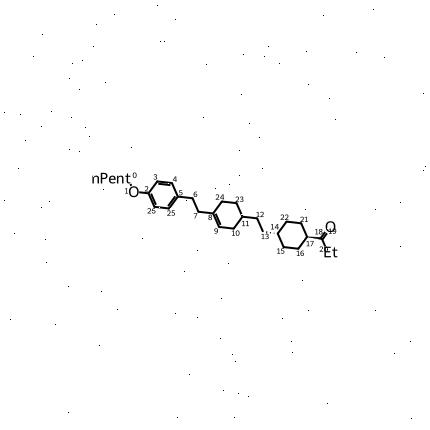 CCCCCOc1ccc(CCC2=CCC(CC[C@H]3CC[C@H](C(=O)CC)CC3)CC2)cc1